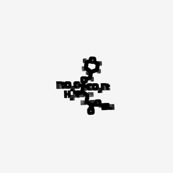 CCOC(=O)C(OCC1CCOCC1)(C(=O)OCC)C(N)CCC(=O)OC(C)(C)C